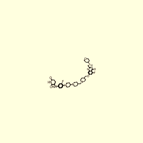 O=C1CCC(Nc2ccc(N3CCC(N4CCC(CN5CCC(COc6cc(F)c7c(=O)[nH]c(CSC8CCOCC8)nc7c6)CC5)CC4)CC3)c(F)c2)C(=O)N1